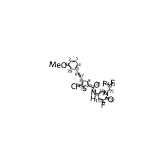 COc1cccc(C#Cc2cc(C(=O)Nc3cc(F)c(=O)n(CC(F)F)c3)sc2Cl)c1